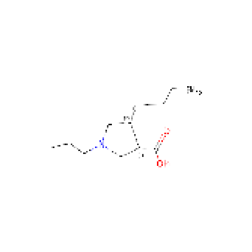 BCCC[C@H]1CN(CCC)C[C@H]1C(=O)O